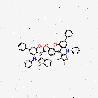 Cc1sc2c(c1C)B1c3ccc4c5c(oc4c3Oc3cc(-c4ccccc4)cc(c31)N2c1ccccc1)Oc1cc(-c2ccccc2)cc2c1B5c1c(sc3ccccc13)N2c1ccccc1